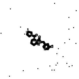 C[C@H]1CCN(C(=O)[C@@H]2CCCc3nn(Cc4cncc(Cl)c4)c(=O)n32)C1